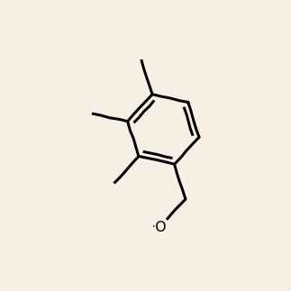 Cc1ccc(C[O])c(C)c1C